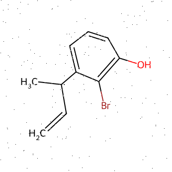 C=C[C](C)c1cccc(O)c1Br